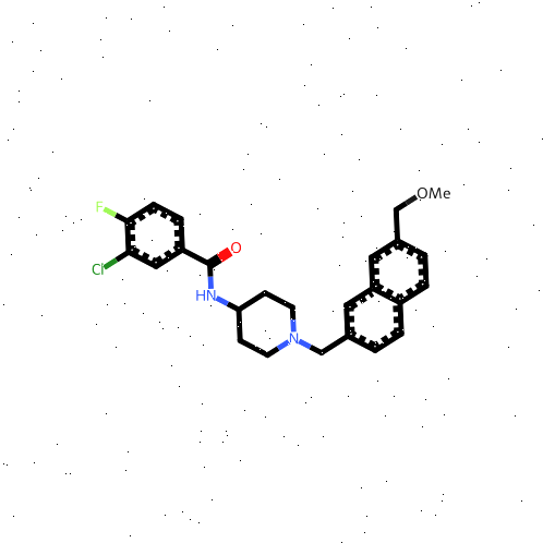 COCc1ccc2ccc(CN3CCC(NC(=O)c4ccc(F)c(Cl)c4)CC3)cc2c1